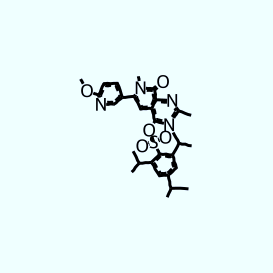 COc1ccc(-c2cc3c(OS(=O)(=O)c4c(C(C)C)cc(C(C)C)cc4C(C)C)nc(C)nc3c(=O)n2C)cn1